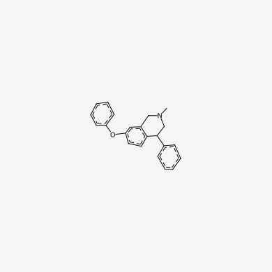 CN1Cc2cc(Oc3ccccc3)ccc2C(c2ccccc2)C1